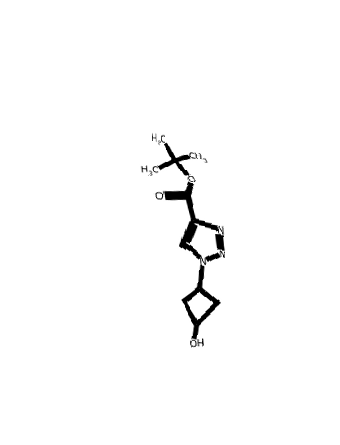 CC(C)(C)OC(=O)c1cn(C2CC(O)C2)nn1